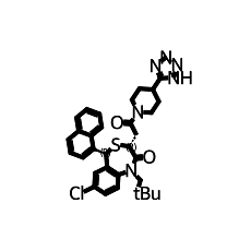 CC(C)(C)CN1C(=O)[C@@H](CC(=O)N2CCC(c3nnn[nH]3)CC2)S[C@H](c2cccc3ccccc23)c2cc(Cl)ccc21